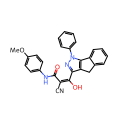 COc1ccc(NC(=O)C(C#N)=C(O)c2nn(-c3ccccc3)c3c2Cc2ccccc2-3)cc1